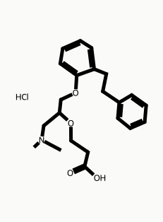 CN(C)CC(COc1ccccc1CCc1ccccc1)OCCC(=O)O.Cl